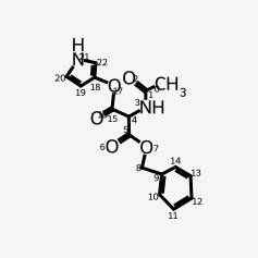 CC(=O)NC(C(=O)OCc1ccccc1)C(=O)Oc1cc[nH]c1